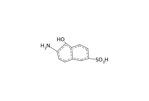 Nc1ccc2cc(S(=O)(=O)O)ccc2c1O